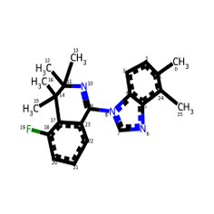 Cc1ccc2c(ncn2C2=NC(C)(C)C(C)(C)c3c(F)cccc32)c1C